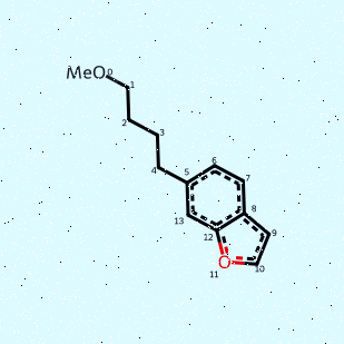 [CH2]OCCCCc1ccc2ccoc2c1